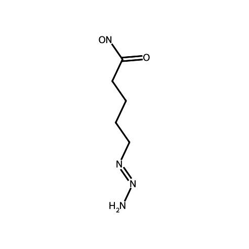 NN=NCCCCC(=O)N=O